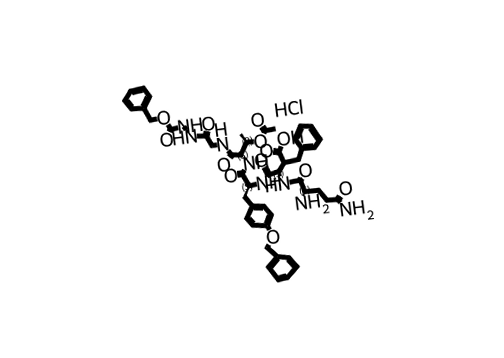 CC(=O)O[C@H](C)[C@H](NC(=O)[C@H](Cc1ccc(OCc2ccccc2)cc1)NC(=O)[C@@H](NC(=O)[C@@H](N)CCC(N)=O)C(Cc1ccccc1)C(=O)O)C(=O)NCC(=O)NNC(=O)OCc1ccccc1.Cl